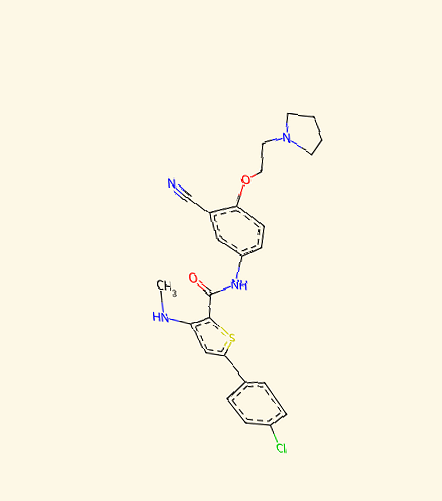 CNc1cc(-c2ccc(Cl)cc2)sc1C(=O)Nc1ccc(OCCN2CCCC2)c(C#N)c1